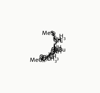 C/C=C\CC(C/C=C\NC(=O)[C@@H](NC(=O)\C=C/C=C\C(C)=C\[C@H](C)C1CC=C(OC)C(=O)O1)C(C)(C)C)CNCCCSSC